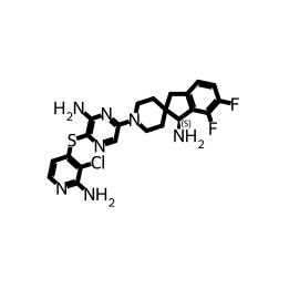 Nc1nc(N2CCC3(CC2)Cc2ccc(F)c(F)c2[C@H]3N)cnc1Sc1ccnc(N)c1Cl